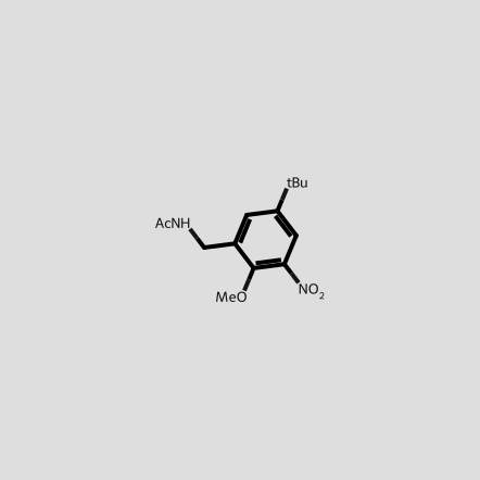 COc1c(CNC(C)=O)cc(C(C)(C)C)cc1[N+](=O)[O-]